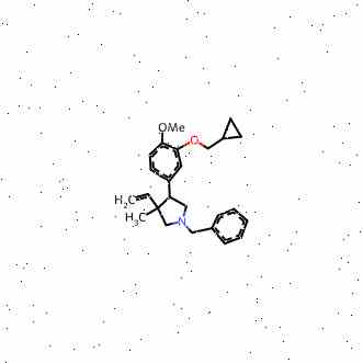 C=CC1(C)CN(Cc2ccccc2)CC1c1ccc(OC)c(OCC2CC2)c1